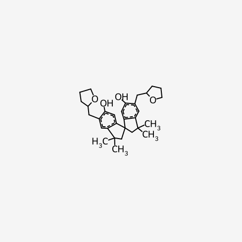 CC1(C)CC2(CC(C)(C)c3cc(CC4CCCO4)c(O)cc32)c2cc(O)c(CC3CCCO3)cc21